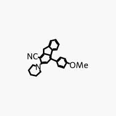 COc1ccc(-c2cc(N3CCCCC3)c(C#N)c3c2-c2ccccc2C3)cc1